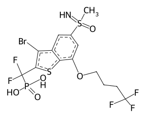 CS(=N)(=O)c1cc(OCCCC(F)(F)F)c2sc(C(F)(F)P(=O)(O)O)c(Br)c2c1